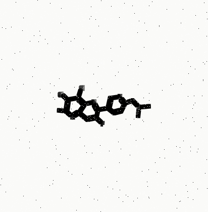 Cc1nc2cc(F)c(-c3ccc(CP(C)C)nc3)nc2c(Cl)c1Cl